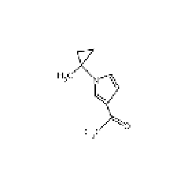 CC1(n2ccc(C(=O)C(Cl)(Cl)Cl)c2)CC1